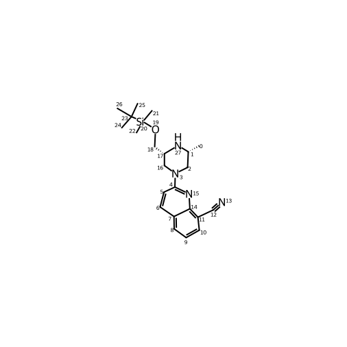 C[C@@H]1CN(c2ccc3cccc(C#N)c3n2)C[C@H](CO[Si](C)(C)C(C)(C)C)N1